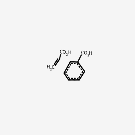 C=CC(=O)O.O=C(O)c1ccccc1